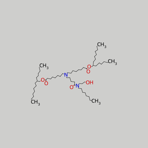 CCCCCCCCC(CCCCCC)COC(=O)CCCCCCCN(CCCCCCCC(=O)OCC(CCCCCC)CCCCCCCC)CCCCC(=O)N(CCCO)CCCCCCCC